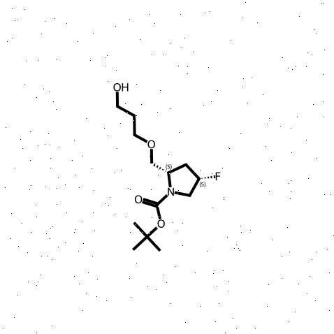 CC(C)(C)OC(=O)N1C[C@@H](F)C[C@H]1COCCCO